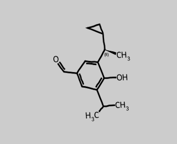 CC(C)c1cc(C=O)cc([C@H](C)C2CC2)c1O